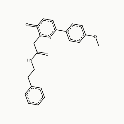 COc1ccc(-c2ccc(=O)n(CC(=O)NCCc3ccccc3)n2)cc1